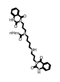 CCCCCCC(=O)N(CCCCNCCCn1c(=O)[nH]c2ccccc2c1=O)CCCn1c(=O)[nH]c2ccccc2c1=O